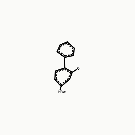 CNc1ccc(-c2ccccc2)c([O])c1